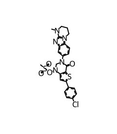 CN1CCCn2c1nc1cc(N3CN(OS(C)(=O)=O)c4cc(-c5ccc(Cl)cc5)sc4C3=O)ccc12